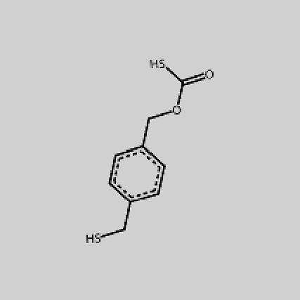 O=C(S)OCc1ccc(CS)cc1